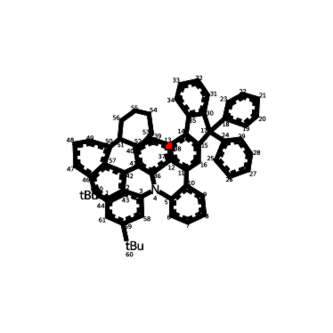 CC(C)(C)c1cc(N(c2ccccc2-c2ccc3c(c2)C(c2ccccc2)(c2ccccc2)c2ccccc2-3)c2ccccc2-c2cccc3cccc(C4CCCCC4)c23)cc(C(C)(C)C)c1